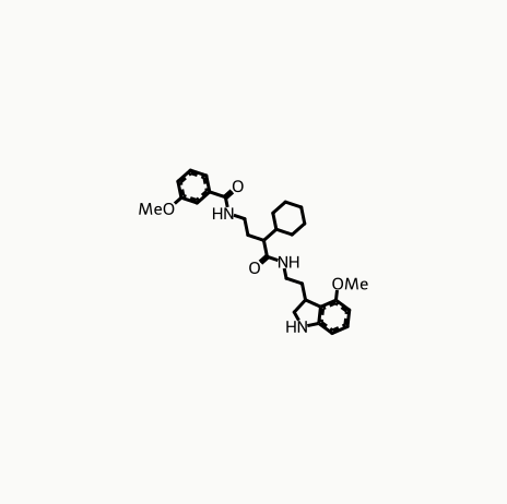 COc1cccc(C(=O)NCCC(C(=O)NCCC2CNc3cccc(OC)c32)C2CCCCC2)c1